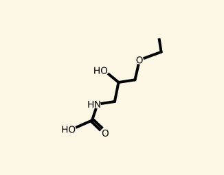 CCOCC(O)CNC(=O)O